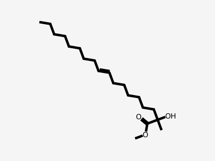 CCCCCCCCC=CCCCCCCC(C)(O)C(=O)OC